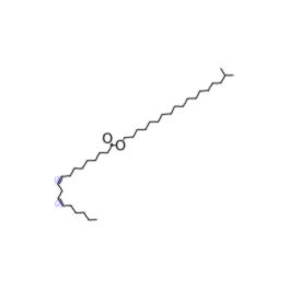 CCCCC/C=C\C/C=C\CCCCCCCC(=O)OCCCCCCCCCCCCCCCCC(C)C